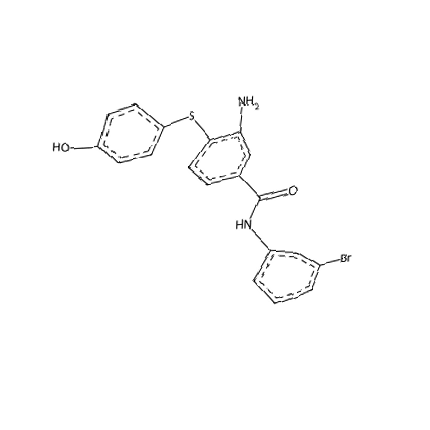 Nc1cc(C(=O)Nc2cccc(Br)c2)ccc1Sc1ccc(O)cc1